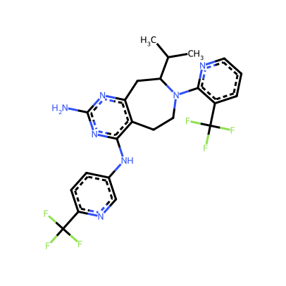 CC(C)C1Cc2nc(N)nc(Nc3ccc(C(F)(F)F)nc3)c2CCN1c1ncccc1C(F)(F)F